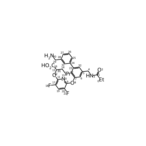 CCC(=O)NCc1cc(Oc2nc(O[C@H](CC(C)C)C(=O)O)c(F)cc2F)cc(-c2cccc(CN)c2)c1